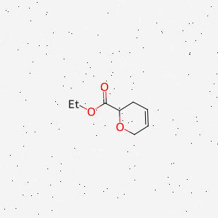 CCOC(=O)[C]1CC=CCO1